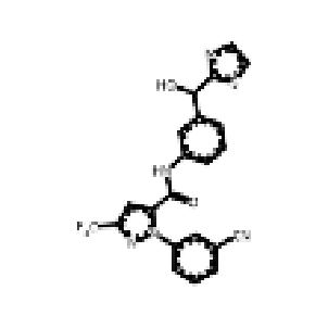 N#Cc1cccc(-n2nc(C(F)(F)F)cc2C(=O)Nc2cccc(C(O)c3nccs3)c2)c1